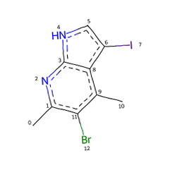 Cc1nc2[nH]cc(I)c2c(C)c1Br